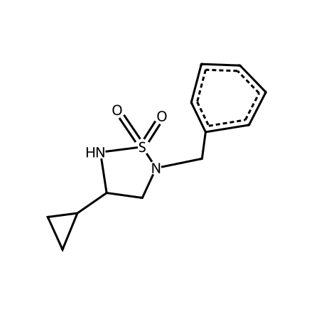 O=S1(=O)NC(C2CC2)CN1Cc1ccccc1